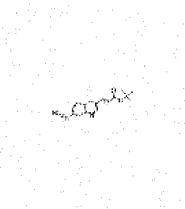 CC(C)(C)OC(=O)/C=C/c1cnc2cc(N=[N+]=[N-])ccc2c1